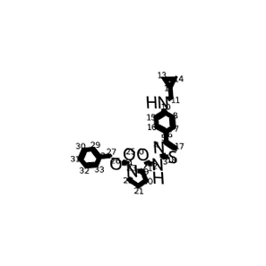 O=C(Nc1nc(-c2ccc(NCC3CC3)cc2)cs1)[C@@H]1CCCN1C(=O)OCc1ccccc1